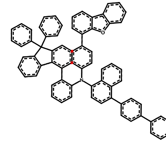 c1ccc(-c2ccc(-c3ccc(N(c4ccc(-c5cccc6c5oc5ccccc56)cc4)c4ccccc4-c4cccc5c4-c4ccccc4C5(c4ccccc4)c4ccccc4)c4ccccc34)cc2)cc1